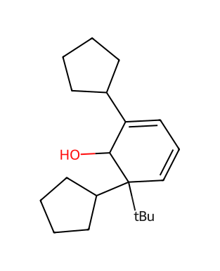 CC(C)(C)C1(C2CCCC2)C=CC=C(C2CCCC2)C1O